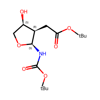 CC(C)(C)OC(=O)C[C@@H]1[C@H](O)CO[C@@H]1NC(=O)OC(C)(C)C